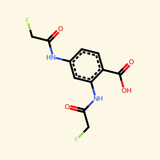 O=C(CF)Nc1ccc(C(=O)O)c(NC(=O)CF)c1